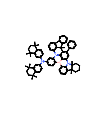 CC1(C)CCC(C)(C)c2cc(N(c3ccc4c(c3)N3c5cccc6c5C(C)(c5ccccc5-6)c5c(-c6ccccc6)cc6c(c53)B4c3cccc4c3N6C3(C)CCCCC43C)c3ccc4c(c3)C(C)(C)CCC4(C)C)ccc21